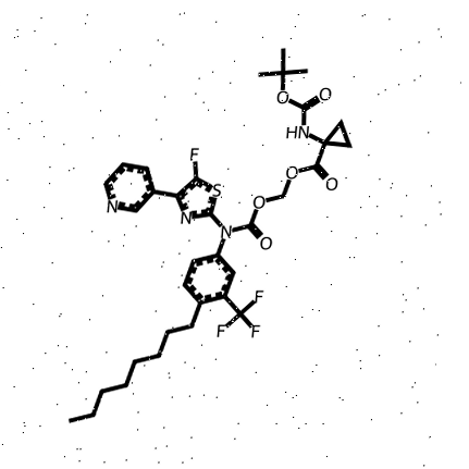 CCCCCCCCc1ccc(N(C(=O)OCOC(=O)C2(NC(=O)OC(C)(C)C)CC2)c2nc(-c3cccnc3)c(F)s2)cc1C(F)(F)F